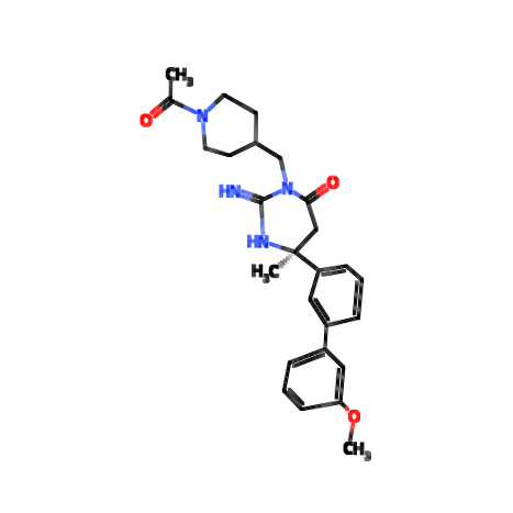 COc1cccc(-c2cccc([C@]3(C)CC(=O)N(CC4CCN(C(C)=O)CC4)C(=N)N3)c2)c1